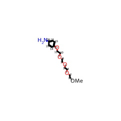 COCCOCCOCCOCCOc1ccc(N)cc1